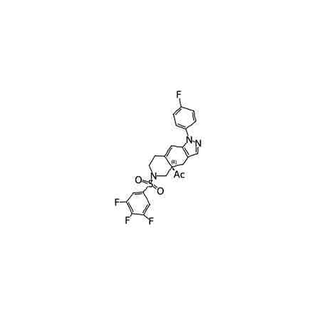 CC(=O)[C@]12Cc3cnn(-c4ccc(F)cc4)c3C=C1CCN(S(=O)(=O)c1cc(F)c(F)c(F)c1)C2